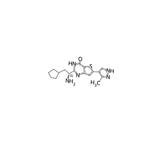 Cc1n[nH]cc1-c1cc2nc([C@@H](N)CC3CCCC3)[nH]c(=O)c2s1